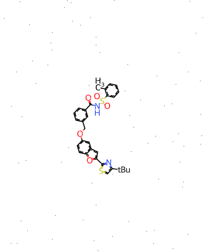 Cc1ccccc1S(=O)(=O)NC(=O)c1cccc(COc2ccc3oc(-c4nc(C(C)(C)C)cs4)cc3c2)c1